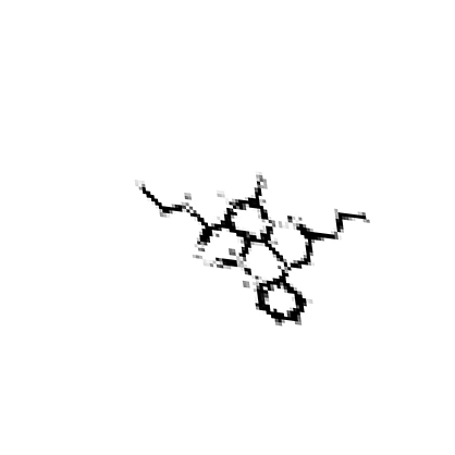 CCOC(=O)CN(c1ccccc1)c1nc(Cl)nc(C(=O)OCC)c1[N+](=O)[O-]